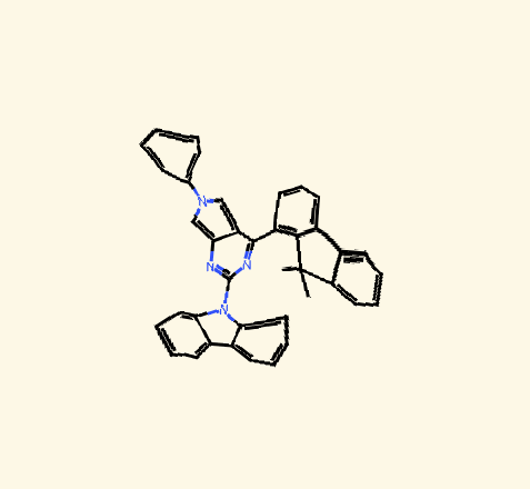 CC1(C)c2ccccc2-c2cccc(-c3nc(-n4c5ccccc5c5ccccc54)nc4cn(-c5ccccc5)cc34)c21